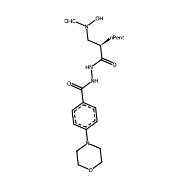 CCCCC[C@H](CN(O)C=O)C(=O)NNC(=O)c1ccc(N2CCOCC2)cc1